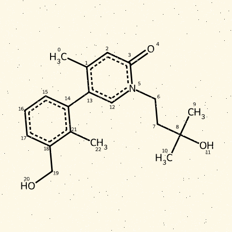 Cc1cc(=O)n(CCC(C)(C)O)cc1-c1cccc(CO)c1C